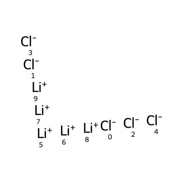 [Cl-].[Cl-].[Cl-].[Cl-].[Cl-].[Li+].[Li+].[Li+].[Li+].[Li+]